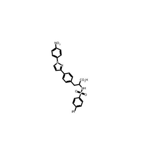 CC(C)c1ccc(S(=O)(=O)NC(Cc2ccc(-c3ccn(-c4ccc([N+](=O)[O-])cc4)n3)cc2)C(=O)O)cc1